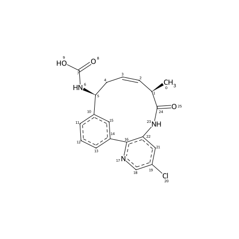 C[C@@H]1C=CC[C@H](NC(=O)O)c2cccc(c2)-c2ncc(Cl)cc2NC1=O